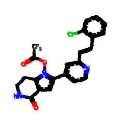 O=C1NCCc2c1cc(-c1ccnc(C=Cc3ccccc3Cl)c1)n2OC(=O)C(F)(F)F